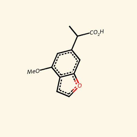 COc1cc(C(C)C(=O)O)cc2occc12